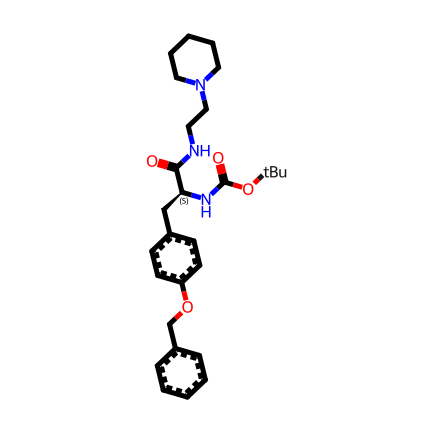 CC(C)(C)OC(=O)N[C@@H](Cc1ccc(OCc2ccccc2)cc1)C(=O)NCCN1CCCCC1